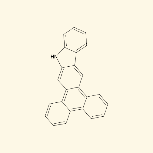 c1ccc2c(c1)[nH]c1cc3c4ccccc4c4ccccc4c3cc12